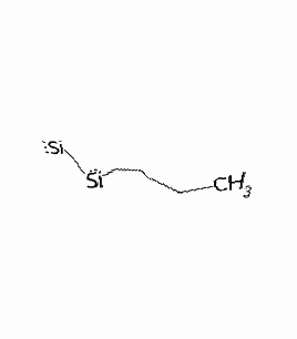 CCC[Si][Si]